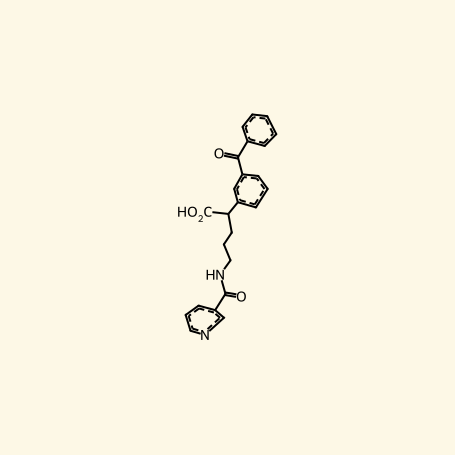 O=C(NCCCC(C(=O)O)c1cccc(C(=O)c2ccccc2)c1)c1cccnc1